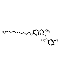 CCCCCCCCCCOc1ccc(CC(C)NCC(O)c2cccc(Cl)c2)cc1